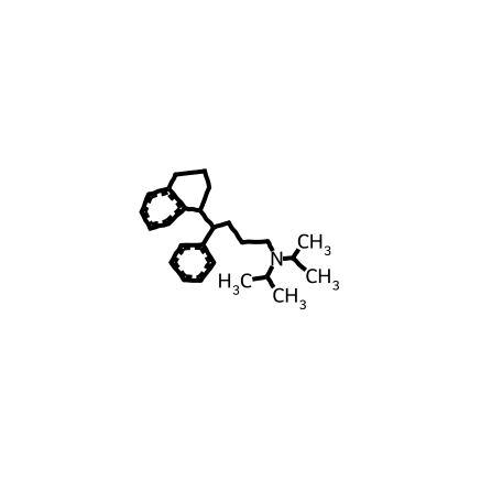 CC(C)N(CCCC(c1ccccc1)C1CCCc2ccccc21)C(C)C